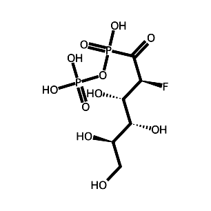 O=C([C@@H](F)[C@@H](O)[C@H](O)[C@H](O)CO)P(=O)(O)OP(=O)(O)O